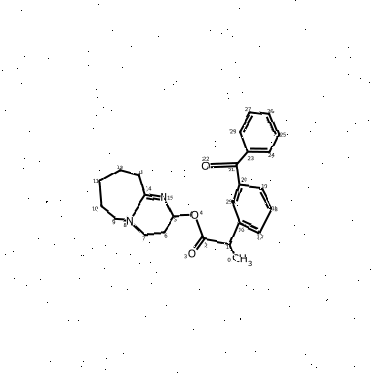 CC(C(=O)OC1CCN2CCCCCC2=N1)c1cccc(C(=O)c2ccccc2)c1